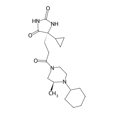 C[C@H]1CN(C(=O)CC[C@@]2(C3CC3)NC(=O)NC2=O)CCN1C1CCCCC1